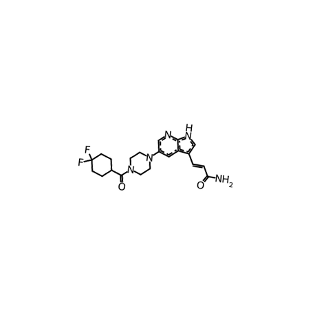 NC(=O)C=Cc1c[nH]c2ncc(N3CCN(C(=O)C4CCC(F)(F)CC4)CC3)cc12